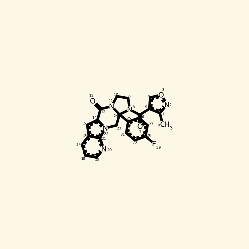 Cc1nocc1C(=O)N1CCN2C(=O)c3cc4cccnc4n3CC12c1ccc(F)cc1